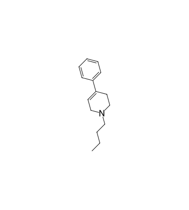 CCCCN1CC=C(c2ccccc2)CC1